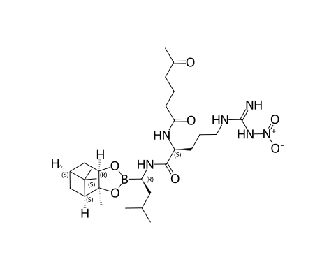 CC(=O)CCCC(=O)N[C@@H](CCCNC(=N)N[N+](=O)[O-])C(=O)N[C@@H](CC(C)C)B1O[C@@H]2C[C@@H]3C[C@@H](C3(C)C)[C@]2(C)O1